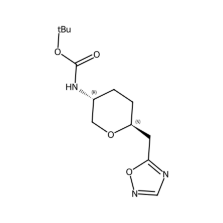 CC(C)(C)OC(=O)N[C@@H]1CC[C@@H](Cc2ncno2)OC1